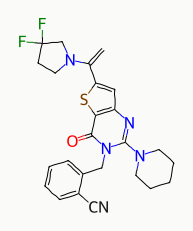 C=C(c1cc2nc(N3CCCCC3)n(Cc3ccccc3C#N)c(=O)c2s1)N1CCC(F)(F)C1